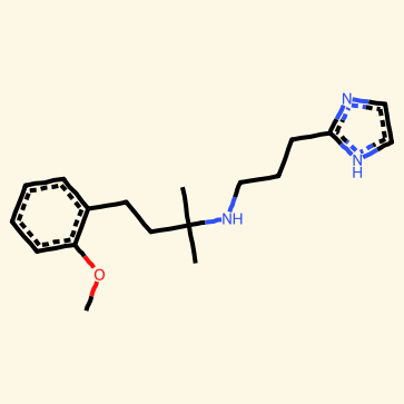 COc1ccccc1CCC(C)(C)NCCCc1ncc[nH]1